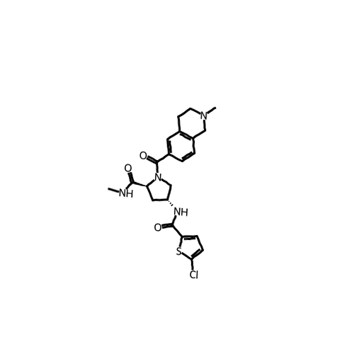 CNC(=O)[C@@H]1C[C@@H](NC(=O)c2ccc(Cl)s2)CN1C(=O)c1ccc2c(c1)CCN(C)C2